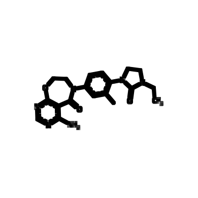 Cc1cc(N2CCOc3ncnc(N)c3C2=O)ccc1N1CCN(CC(F)(F)F)C1=O